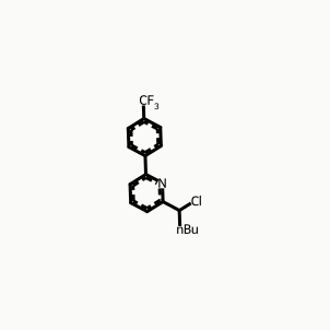 CCCCC(Cl)c1cccc(-c2ccc(C(F)(F)F)cc2)n1